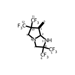 C=C1C2NC(C(F)(F)F)(C(F)(F)F)CN2CC1(C(F)(F)F)C(F)(F)F